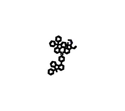 C=CC1=C(/C=C\C)C(C)(C)c2cc(N(c3ccc(-c4cccc5c4-c4ccccc4C5(C)c4ccccc4)cc3)c3cccc4c3-c3ccccc3C4(c3ccccc3)c3ccccc3)ccc21